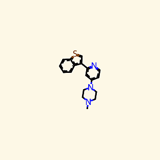 CN1CCN(c2ccnc(-c3csc4ccccc34)c2)CC1